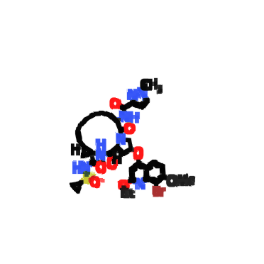 CCOc1cc(O[C@@H]2C[C@H]3C(=O)N[C@]4(C(=O)N[S+]([O-])C5CC5)C[C@H]4/C=C\CCCCC[C@H](NC(=O)c4ccn(C)n4)C(=O)N3C2)c2ccc(OC)c(Br)c2n1